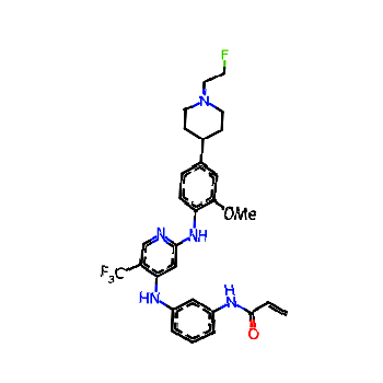 C=CC(=O)Nc1cccc(Nc2cc(Nc3ccc(C4CCN(CCF)CC4)cc3OC)ncc2C(F)(F)F)c1